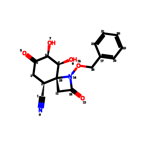 N#C[C@@H]1CC(=O)[C@@H](O)[C@@H](O)[C@@]12CC(=O)N2OCc1ccccc1